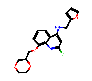 Clc1cc(NCc2ccco2)c2cccc(OCC3COCCO3)c2n1